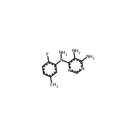 Cc1ccc(F)c(N(N)c2ncnc(N)c2N)c1